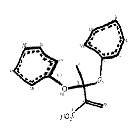 C=C(C(=O)O)C(C)(Oc1ccccc1)Oc1ccccc1